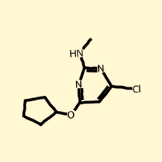 CNc1nc(Cl)cc(OC2CCCC2)n1